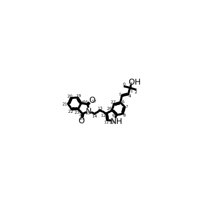 CC(C)(O)/C=C/c1ccc2[nH]cc(CCN3C(=O)c4ccccc4C3=O)c2c1